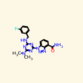 CN(C)c1nc(NCc2cccc(F)c2)nc(-n2nnc3c(C(N)=O)cccc32)n1